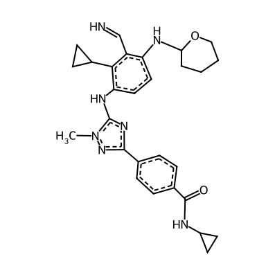 Cn1nc(-c2ccc(C(=O)NC3CC3)cc2)nc1Nc1ccc(NC2CCCCO2)c(C=N)c1C1CC1